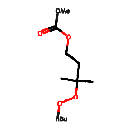 CCCCOOC(C)(C)CCOC(=O)OC